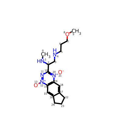 CNC(CNCCCOC)c1n[n+]([O-])c2cc3c(cc2[n+]1[O-])CCC3